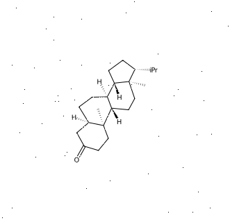 CC(C)[C@H]1CC[C@H]2[C@@H]3CC[C@@H]4CC(=O)CC[C@]4(C)[C@H]3CC[C@]12C